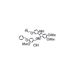 COc1cc2c(cc1OC)-c1[nH]c3ccc(OCCN(C)C)cc3c1/C2=N\OCc1ccc(OCc2ccccc2)c(OC)c1.Cl